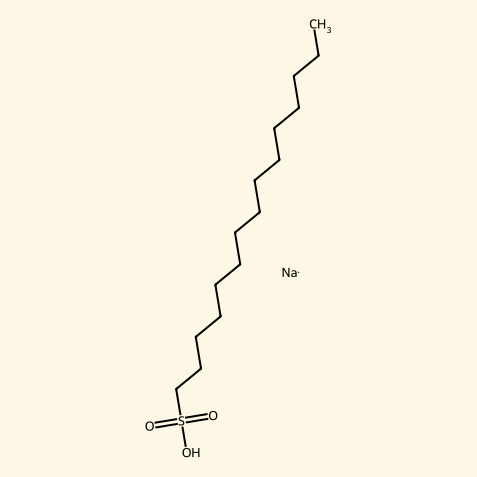 CCCCCCCCCCCCCCCS(=O)(=O)O.[Na]